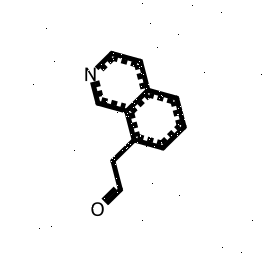 O=CCc1cccc2ccncc12